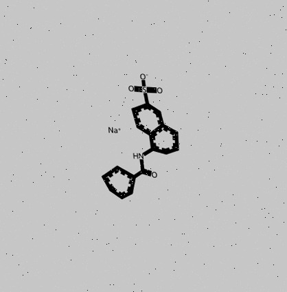 O=C(Nc1cccc2cc(S(=O)(=O)[O-])ccc12)c1ccccc1.[Na+]